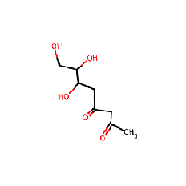 CC(=O)CC(=O)CC(O)C(O)CO